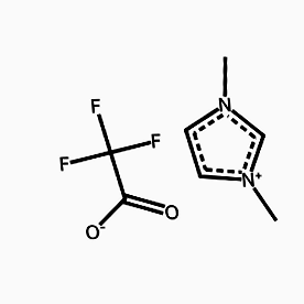 Cn1cc[n+](C)c1.O=C([O-])C(F)(F)F